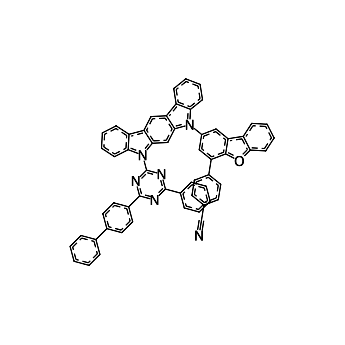 N#Cc1ccc(-c2cc(-n3c4ccccc4c4cc5c6ccccc6n(-c6nc(-c7ccccc7)nc(-c7ccc(-c8ccccc8)cc7)n6)c5cc43)cc3c2oc2ccccc23)cc1